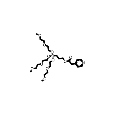 COCCOCCO[Si](CCCOC(=O)Cc1ccncc1)(OCCOCCOC)OCCOCCOC